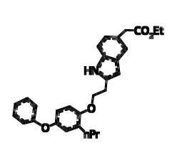 CCCc1cc(Oc2ccccc2)ccc1OCCc1cc2cc(CC(=O)OCC)ccc2[nH]1